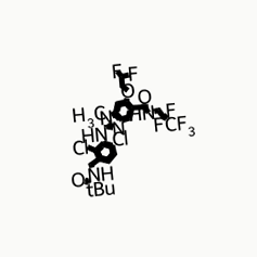 Cn1c(Nc2c(Cl)ccc(CNC(=O)C(C)(C)C)c2Cl)nc2cc(C(=O)NCC(F)(F)C(F)(F)F)c(OCC(F)F)cc21